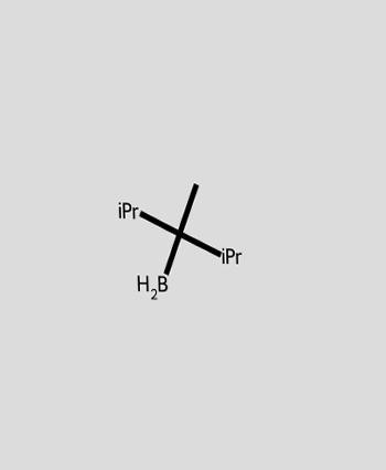 BC(C)(C(C)C)C(C)C